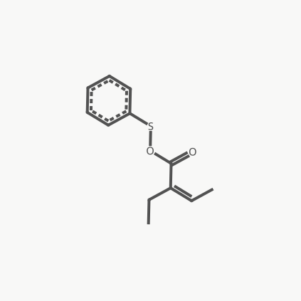 C/C=C(/CC)C(=O)OSc1ccccc1